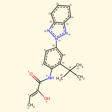 CC=C(O)C(=O)Nc1ccc(-n2nc3ccccc3n2)cc1C(C)(C)C